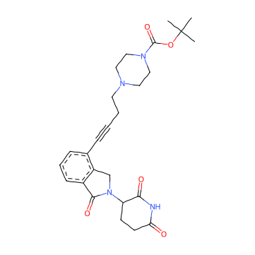 CC(C)(C)OC(=O)N1CCN(CCC#Cc2cccc3c2CN(C2CCC(=O)NC2=O)C3=O)CC1